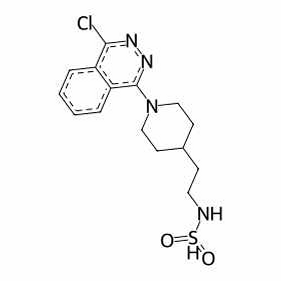 O=[SH](=O)NCCC1CCN(c2nnc(Cl)c3ccccc23)CC1